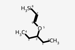 CCC(CC)OC=C[SiH3]